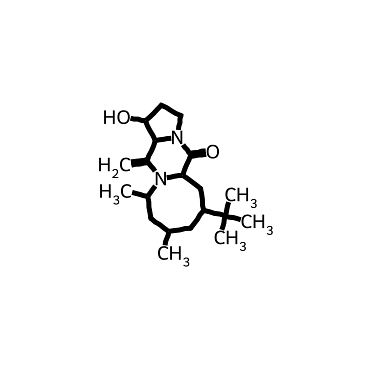 C=C1C2C(O)CCN2C(=O)C2CC(C(C)(C)C)CC(C)CC(C)N12